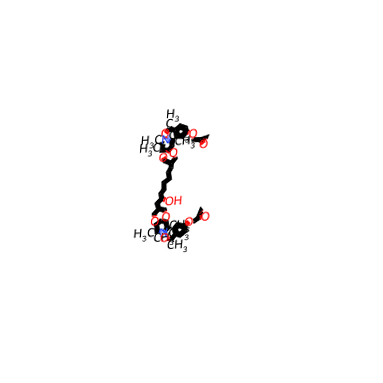 CC(ON1C(C)(C)CC2(CC1(C)C)OCC(CCCCCCC(O)CC1COC3(CC(C)(C)N(OC(C)c4ccc(OCC5CO5)cc4)C(C)(C)C3)OC1)CO2)c1ccc(OCC2CO2)cc1